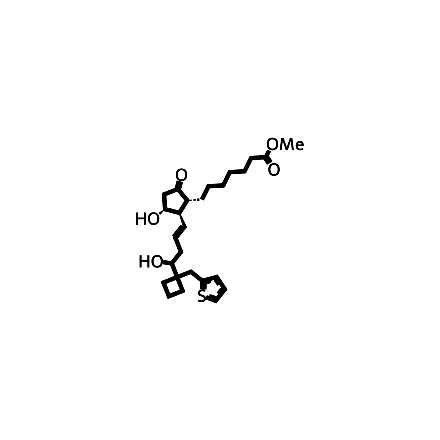 COC(=O)CCCCCC[C@H]1C(=O)C[C@@H](O)[C@@H]1C=CCC(O)C1(Cc2cccs2)CCC1